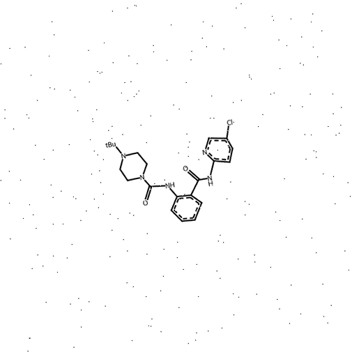 CC(C)(C)N1CCN(C(=O)Nc2ccccc2C(=O)Nc2ccc(Cl)cn2)CC1